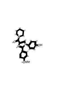 COc1ccc(-c2nc(C(=O)N3CCCCC3)cn2-c2ccc(O)cc2)cc1